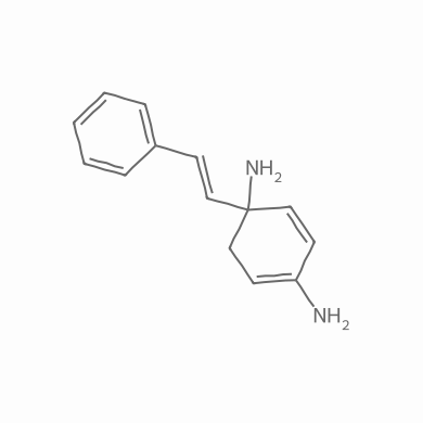 NC1=CCC(N)(C=Cc2ccccc2)C=C1